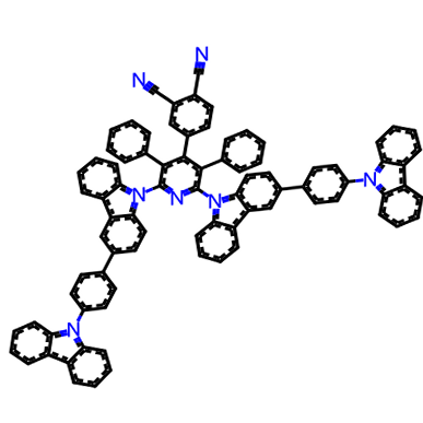 N#Cc1ccc(-c2c(-c3ccccc3)c(-n3c4ccccc4c4cc(-c5ccc(-n6c7ccccc7c7ccccc76)cc5)ccc43)nc(-n3c4ccccc4c4cc(-c5ccc(-n6c7ccccc7c7ccccc76)cc5)ccc43)c2-c2ccccc2)cc1C#N